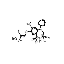 CCCC[C@]1(CC)CN(c2ccccc2)c2cc(N(C)C)c(O/C=C(\F)C(=O)O)cc2S(=O)(=O)N1